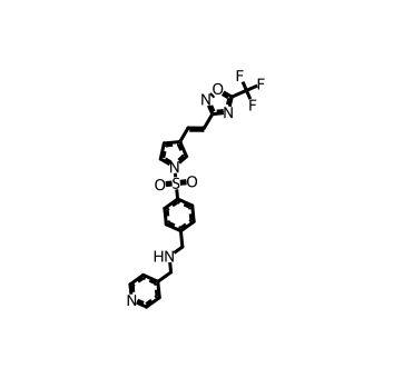 O=S(=O)(c1ccc(CNCc2ccncc2)cc1)n1ccc(C=Cc2noc(C(F)(F)F)n2)c1